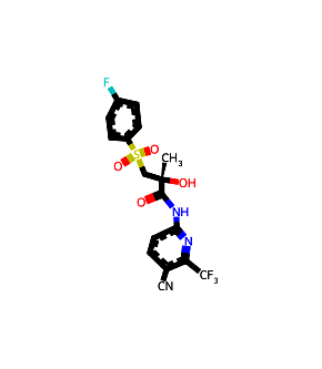 C[C@](O)(CS(=O)(=O)c1ccc(F)cc1)C(=O)Nc1ccc(C#N)c(C(F)(F)F)n1